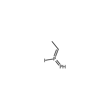 CC=P(=P)I